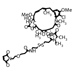 COc1cc2cc(c1Cl)N(C)C(=O)C[C@H](OC(=O)[C@H](C)N(C)C(=O)CCSSCCNC(=O)CCOCCN1C(=O)C=CC1=O)[C@]1(C)O[C@H]1[C@H](C)[C@@H]1C[C@@](O)(NC(=O)O1)[C@H](OC)/C=C/C=C(\C)C2